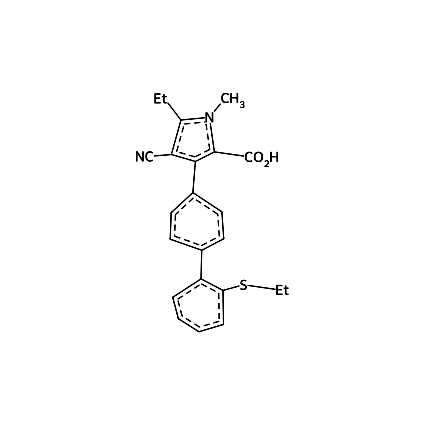 CCSc1ccccc1-c1ccc(-c2c(C#N)c(CC)n(C)c2C(=O)O)cc1